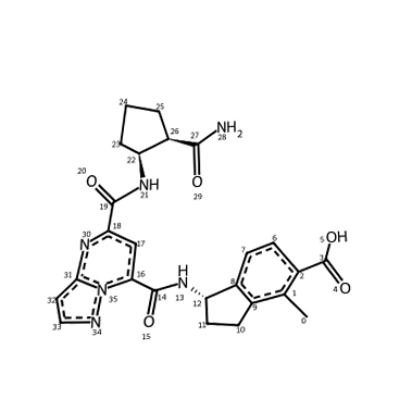 Cc1c(C(=O)O)ccc2c1CC[C@@H]2NC(=O)c1cc(C(=O)N[C@H]2CCC[C@H]2C(N)=O)nc2ccnn12